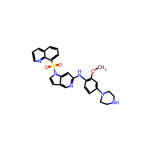 COc1cc(N2CCNCC2)ccc1Nc1cc2c(ccn2S(=O)(=O)c2cccc3cccnc23)cn1